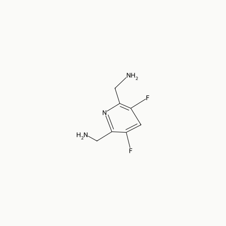 NCc1nc(CN)c(F)cc1F